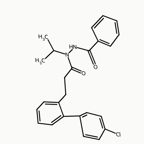 CC(C)N(NC(=O)c1ccccc1)C(=O)CCc1ccccc1-c1ccc(Cl)cc1